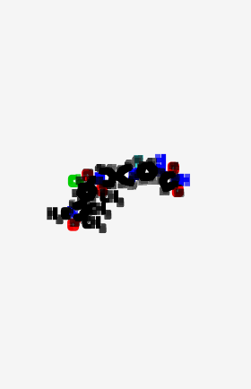 COc1cc(-c2cn(C)c(=O)c(C)c2C)cc(Cl)c1C(=O)N1CCC(C2CCN(c3ccc(NC4CCC(=O)NC4=O)cc3F)CC2)CC1